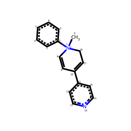 C[N+]1(c2ccccc2)C=CC(c2ccncc2)=CC1